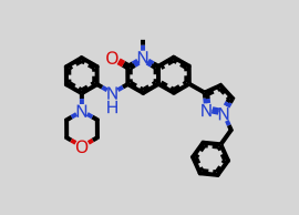 Cn1c(=O)c(Nc2ccccc2N2CCOCC2)cc2cc(-c3ccn(Cc4ccccc4)n3)ccc21